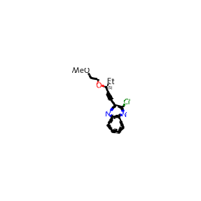 CC[C@@H](C#Cc1nc2ccccc2nc1Cl)OCCOC